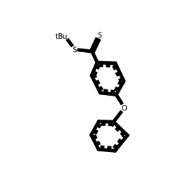 CC(C)(C)SC(=S)c1ccc(Oc2ccccc2)cc1